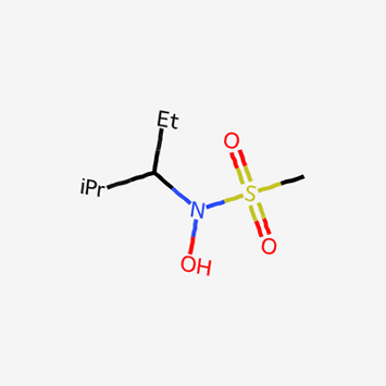 CCC(C(C)C)N(O)S(C)(=O)=O